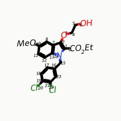 CCOC(=O)c1c(OCCO)c2cc(OC)ccc2n1Cc1ccc(Cl)c(Cl)c1